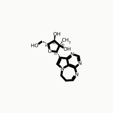 C[C@@]1(O)[C@H](O)[C@@H](CO)O[C@H]1c1cn2c3c(ncnc13)N=CCC2